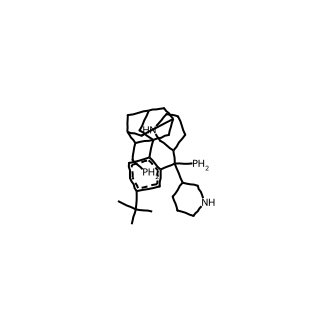 CC(C)(C)c1ccc(C23CC4CC(CC(C4)C2CP)C3)c(C(P)(C2CCCNC2)C2CCCNC2)c1